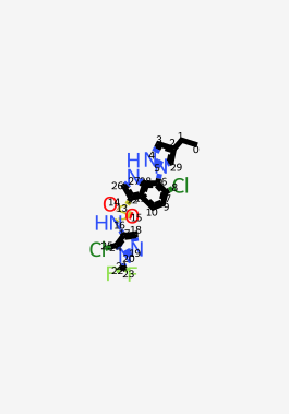 CCc1cnn(-c2c(Cl)ccc3c(S(=O)(=O)Nc4cnn(C(F)F)c4Cl)c[nH]c23)c1